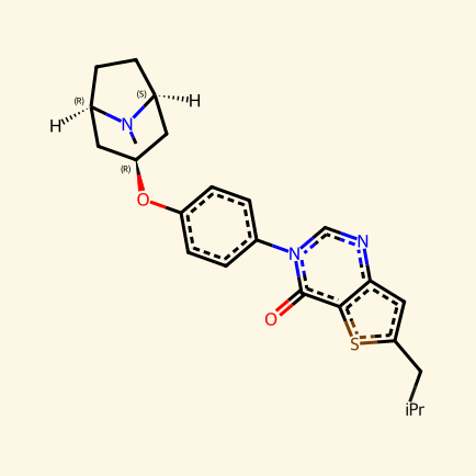 CC(C)Cc1cc2ncn(-c3ccc(O[C@H]4C[C@H]5CC[C@@H](C4)N5C)cc3)c(=O)c2s1